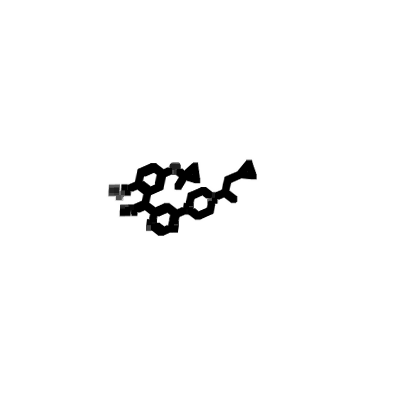 CC(CC1CC1)N1CCN(c2cc(C(=N)c3cc(OC4(C)CC4)ccc3N)ncn2)CC1